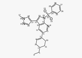 CCC1CC=C(c2cnc3c(c2)c(-c2cnn(C)c2)cn3S(=O)(=O)c2ccccc2)CC1